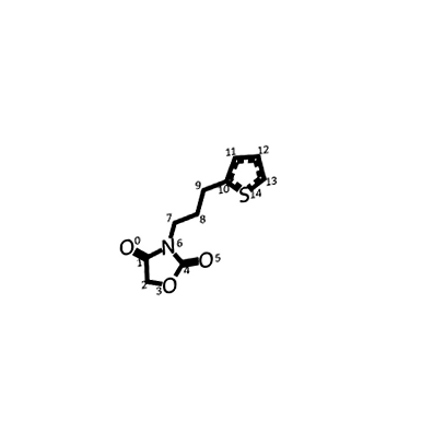 O=C1COC(=O)N1CCCc1cccs1